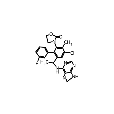 Cc1c(Cl)cc(C(C)Nc2ncnc3[nH]cnc23)c(-c2cccc(F)c2)c1N1CCOC1=O